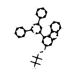 CC(C)(O)C(C)(C)OSc1cc(-c2cc(-c3ccccc3)nc(-c3ccccc3)n2)c2c(c1)oc1ccccc12